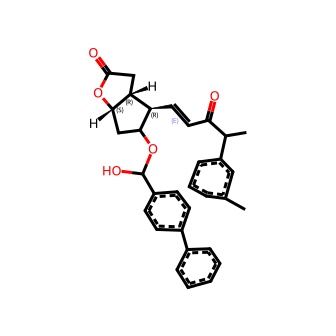 Cc1cccc(C(C)C(=O)/C=C/[C@H]2C(OC(O)c3ccc(-c4ccccc4)cc3)C[C@@H]3OC(=O)C[C@@H]32)c1